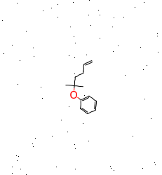 C=CCCC(C)(C)Oc1ccccc1